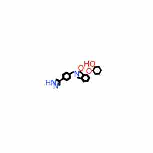 O=C1c2c(cccc2O[C@@H]2CCCC[C@H]2O)CN1Cc1ccc(-c2cn[nH]c2)cc1